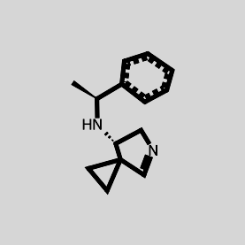 C[C@H](N[C@@H]1CN=CC12CC2)c1ccccc1